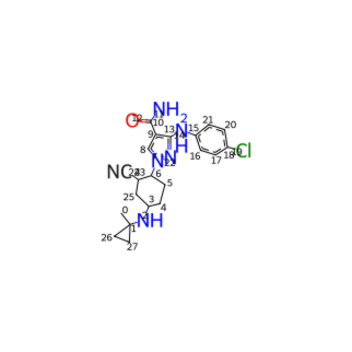 CC1(NC2CCC(n3cc(C(N)=O)c(Nc4ccc(Cl)cc4)n3)C(C#N)C2)CC1